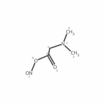 CN(C)CC(=O)ON=O